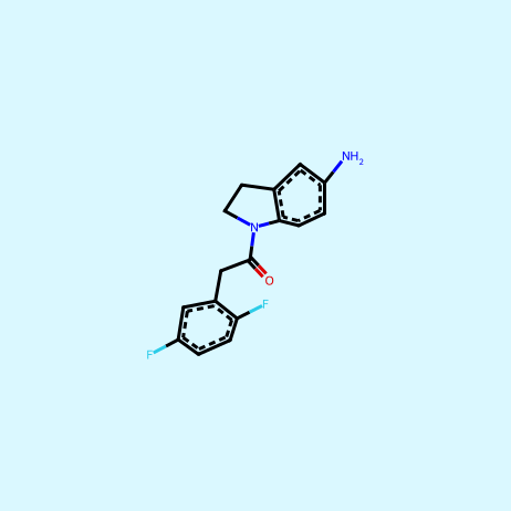 Nc1ccc2c(c1)CCN2C(=O)Cc1cc(F)ccc1F